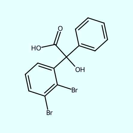 O=C(O)C(O)(c1ccccc1)c1cccc(Br)c1Br